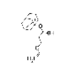 B=C(CCOC=C)OC12CC3CC(CC(C3)C1)C2